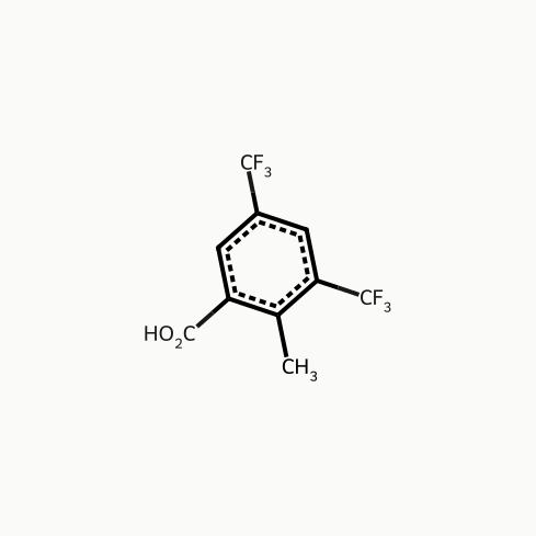 Cc1c(C(=O)O)cc(C(F)(F)F)cc1C(F)(F)F